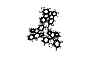 c1ccc2c(c1)Oc1ccccc1C21c2ccccc2-c2cc(N(c3ccc4c(c3)C3(c5ccccc5Sc5ccccc53)c3ccccc3-4)c3ccc4c(c3)C3(c5ccccc5-c5ccccc53)c3ccccc3-4)ccc21